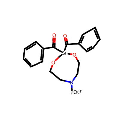 CCCCCCCCN1CC[O][Sn]([C](=O)c2ccccc2)([C](=O)c2ccccc2)[O]CC1